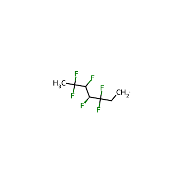 [CH2]CC(F)(F)[C@@H](F)C(F)C(C)(F)F